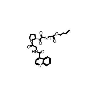 CCCCOC(=O)CNC(=O)C(=O)[C@@H]1CCCN1C(=O)CNC(=O)c1ccnc2ccccc12